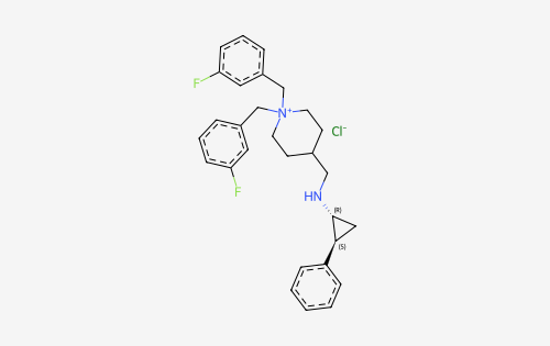 Fc1cccc(C[N+]2(Cc3cccc(F)c3)CCC(CN[C@@H]3C[C@H]3c3ccccc3)CC2)c1.[Cl-]